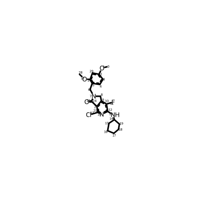 COc1ccc(CN2Cc3c(F)c(NC4CCCCC4)nc(Cl)c3C2=O)c(OC)c1